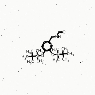 CC(C)(C)[Si](C)(C)Oc1ccc(CNC=O)cc1O[Si](C)(C)C(C)(C)C